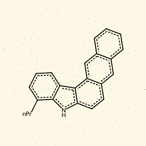 CCCc1cccc2c1[nH]c1ccc3cc4ccccc4cc3c12